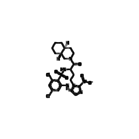 Nc1cc(Cl)cc(Cl)c1S(=O)(=O)NC(CCn1ccnc1[N+](=O)[O-])C(=O)N1CC[C@@H]2CCCC[C@H]2C1